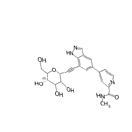 CNC(=O)c1cc(-c2cc(C#CC3OC(CO)[C@@H](O)C(O)C3O)c3[nH]ncc3c2)ccn1